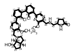 COc1nc(-c2cccc(-c3cccc(-c4cnc(CN5CC[C@@H]6CC[C@@H](O)[C@@H]65)c(OC)n4)c3Cl)c2Cl)cnc1CNCC1CCC(=O)N1